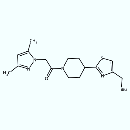 CCC(C)Cc1csc(C2CCN(C(=O)Cn3nc(C)cc3C)CC2)n1